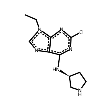 CCn1cnc2c(N[C@H]3CCNC3)nc(Cl)nc21